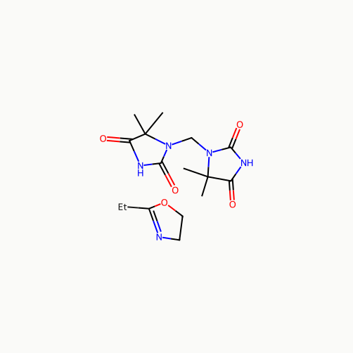 CC1(C)C(=O)NC(=O)N1CN1C(=O)NC(=O)C1(C)C.CCC1=NCCO1